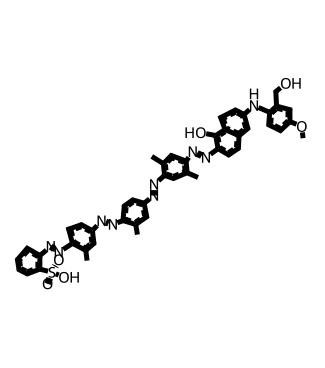 COc1ccc(Nc2ccc3c(O)c(N=Nc4cc(C)c(N=Nc5ccc(N=Nc6ccc(N=Nc7ccccc7S(=O)(=O)O)c(C)c6)c(C)c5)cc4C)ccc3c2)c(CO)c1